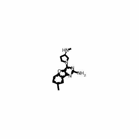 CN[C@@H]1CCN(c2nc(N)nc3c2oc2ccc(C)cc23)C1